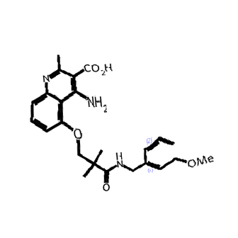 C/C=C\C(=C/COC)CNC(=O)C(C)(C)COc1cccc2nc(C)c(C(=O)O)c(N)c12